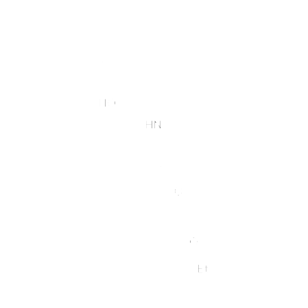 CCOc1cccc2cc(C(C)NCC3CCCCC3O)oc12